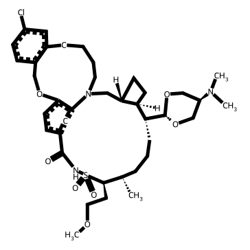 COCC[C@@H]1[C@@H](C)CCC[C@@H]([C@H]2OC[C@H](N(C)C)CO2)[C@@H]2CC[C@H]2CN2CCCCc3cc(Cl)ccc3COc3ccc(cc32)C(=O)NS1(=O)=O